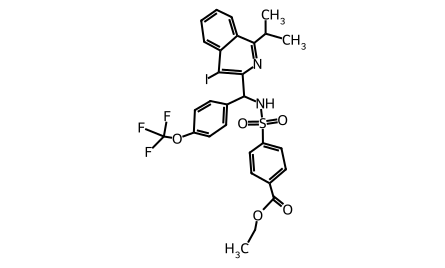 CCOC(=O)c1ccc(S(=O)(=O)NC(c2ccc(OC(F)(F)F)cc2)c2nc(C(C)C)c3ccccc3c2I)cc1